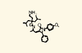 COc1ccc(N2C(=O)C(=CC(C)=NOC(CCN)(CC(C)C)CC(C)C)C2c2ccccc2)cc1